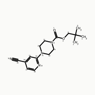 CC(C)(C)COC(=O)N1CCN(c2cc(C#N)ccn2)CC1